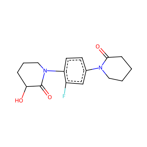 O=C1CCCCN1c1ccc(N2CCCC(O)C2=O)c(F)c1